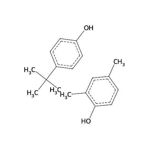 CC(C)(C)c1ccc(O)cc1.Cc1ccc(O)c(C)c1